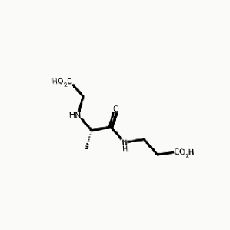 C[C@H](NCC(=O)O)C(=O)NCCC(=O)O